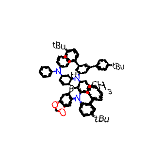 Cc1cc2c3c(c1)N(c1cc(-c4ccc(C(C)(C)C)cc4)cc(-c4ccc(C(C)(C)C)cc4)c1)[C@H]1C=C(N(c4ccccc4)c4ccccc4)C=CC1B3c1cc3c(cc1N2c1ccc(C(C)(C)C)cc1-c1ccccc1)OCO3